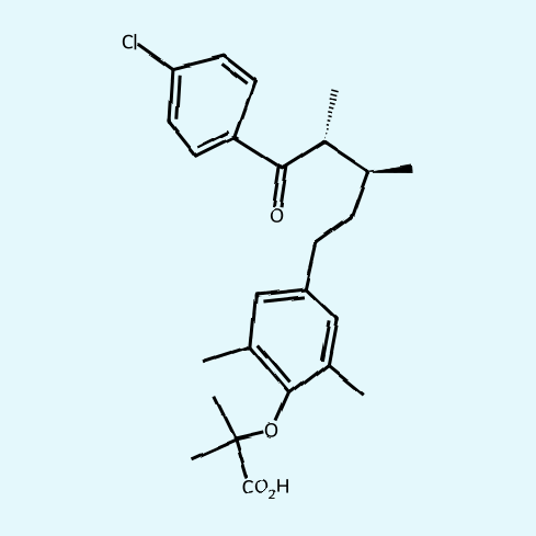 Cc1cc(CC[C@H](C)[C@@H](C)C(=O)c2ccc(Cl)cc2)cc(C)c1OC(C)(C)C(=O)O